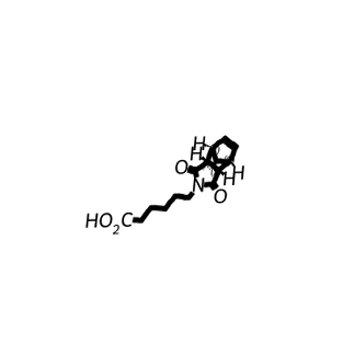 O=C(O)CCCCCN1C(=O)[C@@H]2[C@H](C1=O)[C@H]1C=C[C@@H]2C1